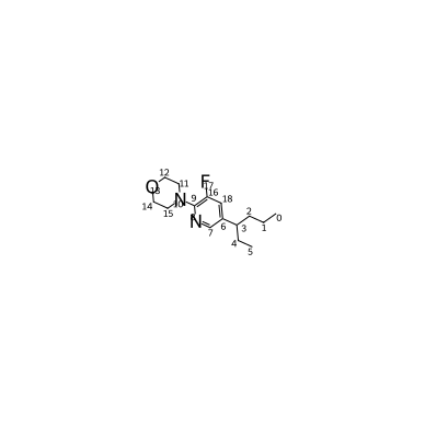 CCCC(CC)c1cnc(N2CCOCC2)c(F)c1